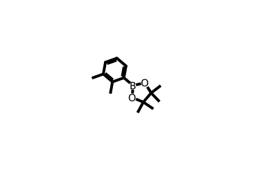 Cc1cccc(B2OC(C)(C)C(C)(C)O2)c1C